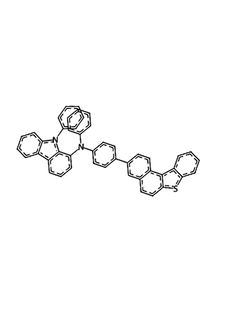 c1ccc(N(c2ccc(-c3ccc4c(ccc5sc6ccccc6c54)c3)cc2)c2cccc3c4ccccc4n(-c4ccccc4)c23)cc1